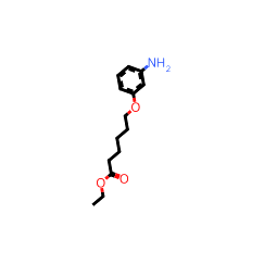 CCOC(=O)CCCCCOc1cccc(N)c1